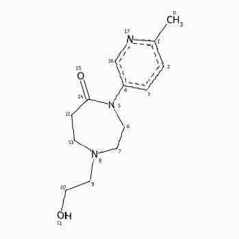 Cc1ccc(N2CCN(CCO)CCC2=O)cn1